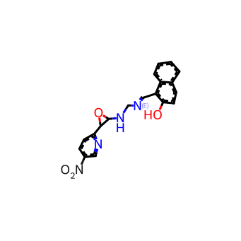 O=[N+]([O-])c1ccc(C2OC2NC/N=C/c2c(O)ccc3ccccc23)nc1